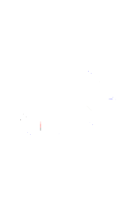 CN(C)C(=O)c1ccc(NC2CCN(CC(=O)N3C[C@@H](F)C[C@H]3C#N)CC2)c2cccnc12